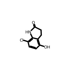 O=C1CCc2c(O)ccc(Cl)c2N1